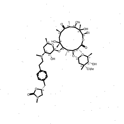 CC[C@H]1OC(=O)[C@H](C)[C@@H](O[C@H]2C[C@@](C)(OC)[C@@H](O)[C@H](C)O2)[C@H](C)[C@@H](O[C@@H]2O[C@H](C)C[C@H](N(C)CCc3ccc(C[C@@H]4CN(C)C(=O)O4)cc3)[C@H]2O)[C@](C)(O)C[C@@H](C)C(=O)[C@H](C)[C@@H](O)[C@]1(C)O